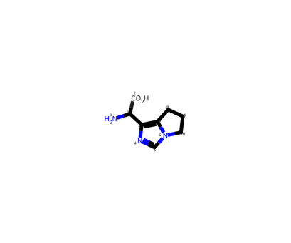 NC(C(=O)O)c1ncn2c1CCC2